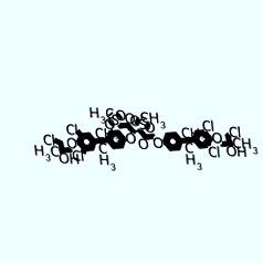 CC(O)(CCl)COc1c(Cl)cc(C(C)(C)c2ccc(OCC(=O)[C@@H](C(Oc3ccc(C(C)(C)c4cc(Cl)c(OCC(C)(O)CCl)c(Cl)c4)cc3)C(=O)CS(C)(=O)=O)S(C)(=O)=O)cc2)cc1Cl